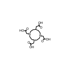 O=C(O)CC1CCN(CC(=O)O)CCN(CC(=O)O)CCN(CC(=O)O)CC1